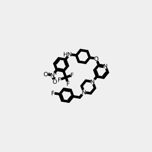 O=[N+]([O-])c1ccc(NC2CCC(Oc3cc(N4CCN(Cc5ccc(F)cc5)CC4)ccn3)CC2)cc1C(F)(F)F